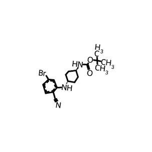 CC(C)(C)OC(=O)N[C@H]1CC[C@H](Nc2cc(Br)ccc2C#N)CC1